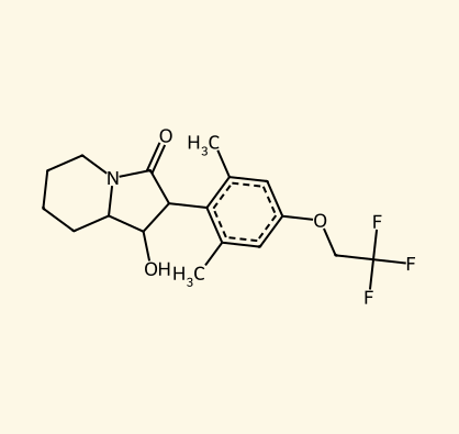 Cc1cc(OCC(F)(F)F)cc(C)c1C1C(=O)N2CCCCC2C1O